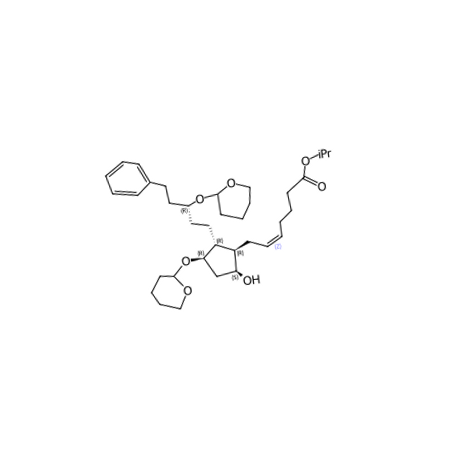 CC(C)OC(=O)CCC/C=C\C[C@@H]1[C@@H](CC[C@H](CCc2ccccc2)OC2CCCCO2)[C@H](OC2CCCCO2)C[C@@H]1O